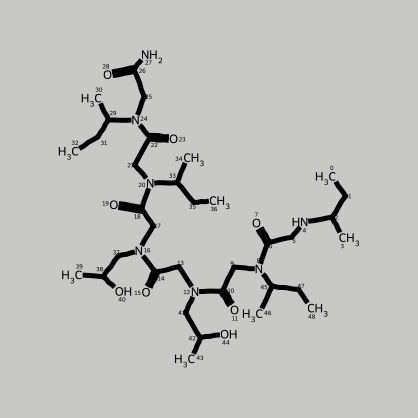 CCC(C)NCC(=O)N(CC(=O)N(CC(=O)N(CC(=O)N(CC(=O)N(CC(N)=O)C(C)CC)C(C)CC)CC(C)O)CC(C)O)C(C)CC